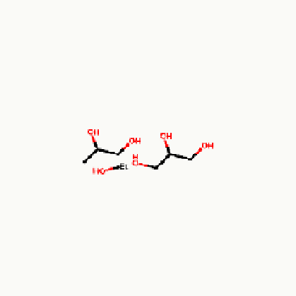 CC(O)CO.CCO.OCC(O)CO